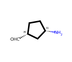 N[C@H]1CC[C@@H]([C]=O)C1